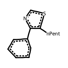 [CH2]CCCCc1scnc1-c1ccccc1